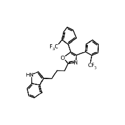 FC(F)(F)c1ccccc1-c1nc(CCCc2c[nH]c3ccccc23)oc1-c1ccccc1C(F)(F)F